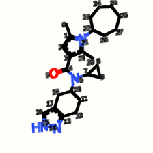 Cc1cc(C(=O)N(C2CC2)C2CCc3n[nH]cc3C2)c(C)n1C1CCCCCC1